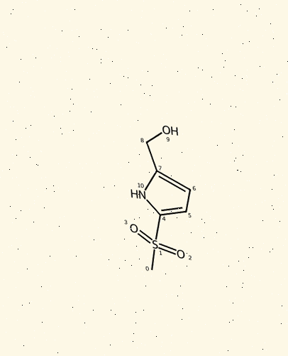 CS(=O)(=O)c1ccc(CO)[nH]1